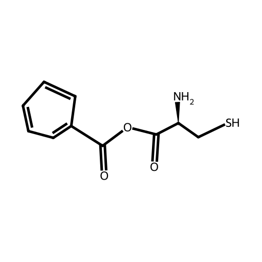 N[C@@H](CS)C(=O)OC(=O)c1ccccc1